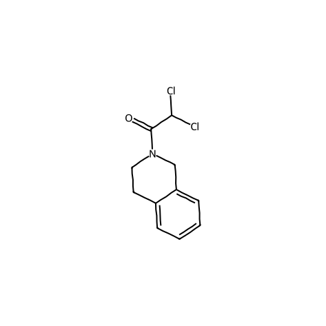 O=C(C(Cl)Cl)N1CCc2ccccc2C1